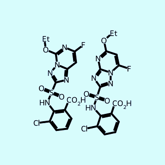 CCOc1cc(F)n2nc(S(=O)(=O)Nc3c(Cl)cccc3C(=O)O)nc2n1.CCOc1nc(F)cc2nc(S(=O)(=O)Nc3c(Cl)cccc3C(=O)O)nn12